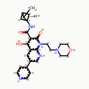 C[C@@H]1C2CC1(NC(=O)c1c(O)c3cc(-c4ccncc4)cnc3n(CCN3CCOCC3)c1=O)C2